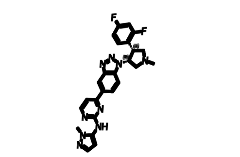 CN1C[C@@H](c2ccc(F)cc2F)[C@@H](n2nnc3cc(-c4ccnc(Nc5ccnn5C)n4)ccc32)C1